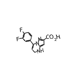 O=C(O)c1cc2n(n1)C(c1ccc(F)c(F)c1)=CCN2